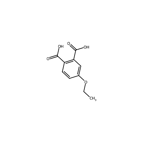 CCOc1ccc(C(=O)O)c(C(=O)O)c1